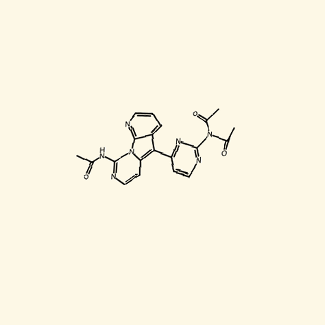 CC(=O)Nc1nccc2c(-c3ccnc(N(C(C)=O)C(C)=O)n3)c3cccnc3n12